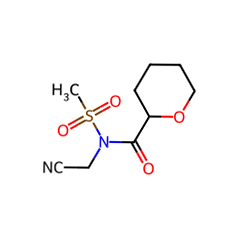 CS(=O)(=O)N(CC#N)C(=O)C1CCCCO1